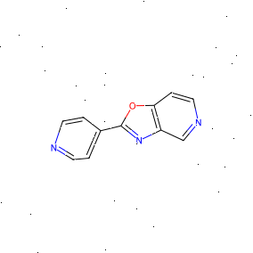 c1cc(-c2nc3cnccc3o2)ccn1